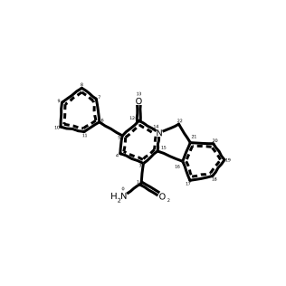 NC(=O)c1cc(-c2ccccc2)c(=O)n2c1-c1ccccc1C2